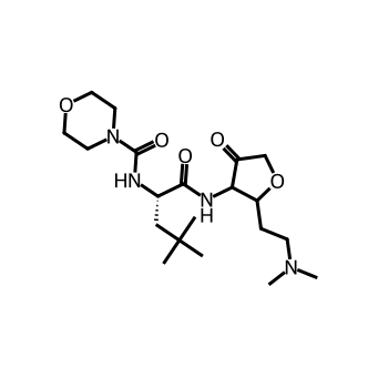 CN(C)CCC1OCC(=O)C1NC(=O)[C@H](CC(C)(C)C)NC(=O)N1CCOCC1